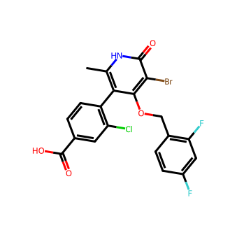 Cc1[nH]c(=O)c(Br)c(OCc2ccc(F)cc2F)c1-c1ccc(C(=O)O)cc1Cl